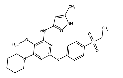 CCS(=O)(=O)c1ccc(Sc2nc(Nc3cc(C)[nH]n3)c(OC)c(N3CCCCC3)n2)cc1